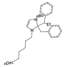 CCCCCCCCCCCCCCCN1C=CN(CCCC)C1(Cc1ccccc1)C(CC)c1ccccc1